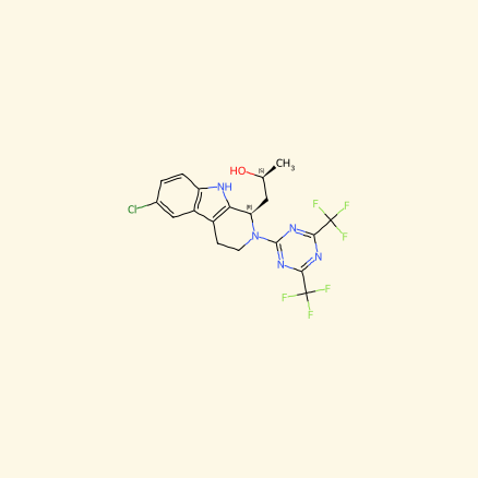 C[C@H](O)C[C@@H]1c2[nH]c3ccc(Cl)cc3c2CCN1c1nc(C(F)(F)F)nc(C(F)(F)F)n1